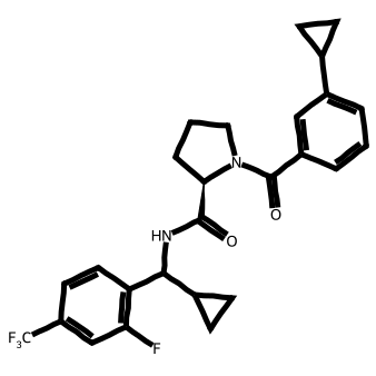 O=C(NC(c1ccc(C(F)(F)F)cc1F)C1CC1)[C@H]1CCCN1C(=O)c1cccc(C2CC2)c1